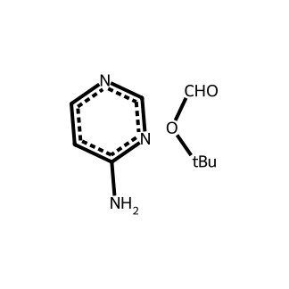 CC(C)(C)OC=O.Nc1ccncn1